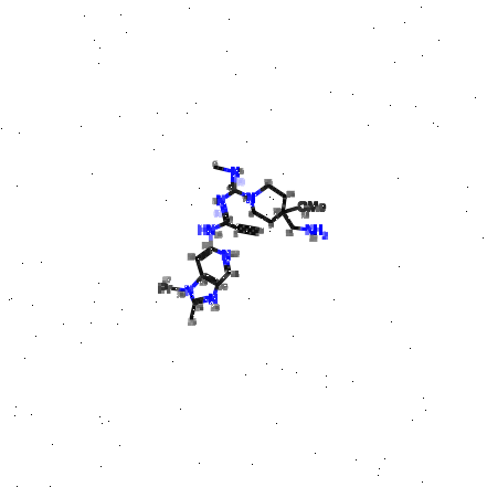 C#C/C(=N\C(=N/C)N1CCC(CN)(OC)CC1)Nc1cc2c(cn1)nc(C)n2C(C)C